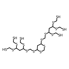 SCSC(CC(SCS)SCSC1CC(SCSC(CC(SCS)SCS)SCS)SCS1)SCS